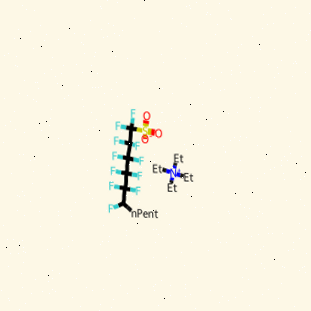 CCCCCC(F)C(F)(F)C(F)(F)C(F)(F)C(F)(F)C(F)(F)S(=O)(=O)[O-].CC[N+](CC)(CC)CC